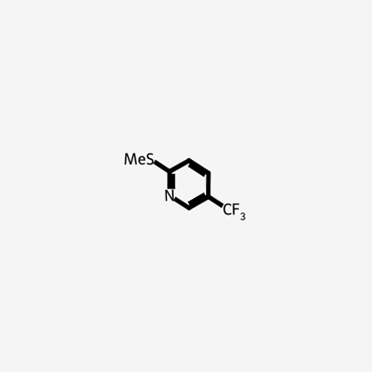 CSc1ccc(C(F)(F)F)cn1